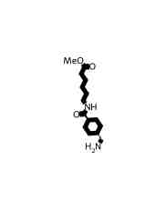 COC(=O)CCCCCNC(=O)[C@H]1CC[C@H](CN)CC1